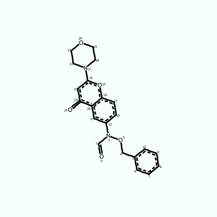 O=CN(OCc1ccccc1)c1ccc2oc(N3CCOCC3)cc(=O)c2c1